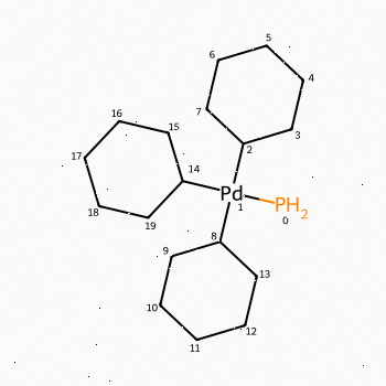 [PH2][Pd]([CH]1CCCCC1)([CH]1CCCCC1)[CH]1CCCCC1